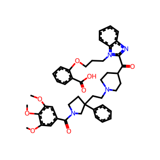 COc1cc(C(=O)N2CCC(CCN3CCC(C(=O)c4nc5ccccc5n4CCCOc4ccccc4C(=O)O)CC3)(c3ccccc3)C2)cc(OC)c1OC